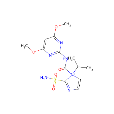 COc1cc(OC)nc(NC(=O)[N+]2(C(C)C)C=CN=C2S(N)(=O)=O)n1